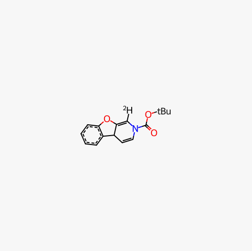 [2H]C1=C2Oc3ccccc3C2C=CN1C(=O)OC(C)(C)C